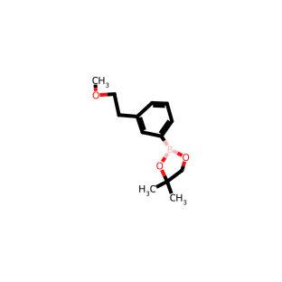 COCCc1cccc(B2OCC(C)(C)O2)c1